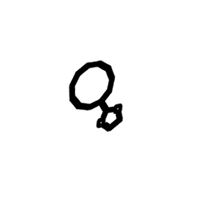 C1CCCCCC(C2OCCO2)CCCC1